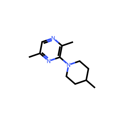 Cc1cnc(C)c(N2CCC(C)CC2)n1